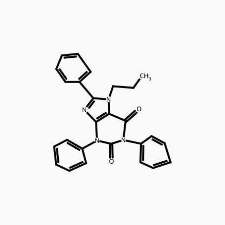 CCCn1c(-c2ccccc2)nc2c1c(=O)n(-c1ccccc1)c(=O)n2-c1ccccc1